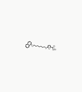 CCCC(=O)c1ccc(SCCCCCCCOc2cccc3ccccc23)o1